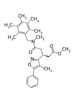 COC(=O)C[C@H](CC(=O)N(C)Cc1c(C)c(C)c(C)c(C)c1C)c1noc(-c2ccccc2)c1C